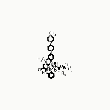 COc1cc(N2CCC(N3CCN(C)CC3)CC2)ccc1Nc1ncc(Cl)c(Nc2ccccc2NS(=O)(=O)NC(=O)OC(C)(C)C)n1